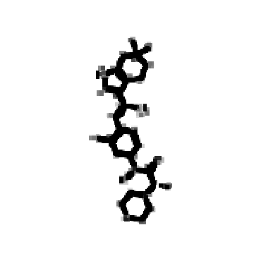 CCN(C(=O)[C@H](C)N1CCOCC1)c1ccc(/C=C(\N)c2n[nH]c3c2CCC(C)(C)C3)c(I)c1